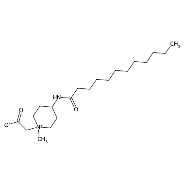 CCCCCCCCCCCC(=O)NC1CC[N+](C)(CC(=O)[O-])CC1